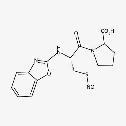 O=NSC[C@H](Nc1nc2ccccc2o1)C(=O)N1CCCC1C(=O)O